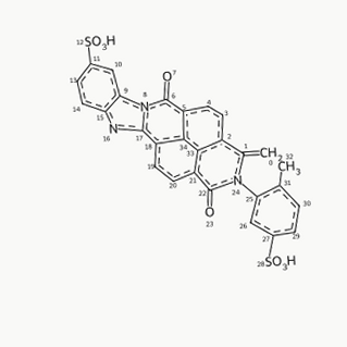 C=c1c2ccc3c(=O)n4c5cc(S(=O)(=O)O)ccc5nc4c4ccc(c(=O)n1-c1cc(S(=O)(=O)O)ccc1C)c2c34